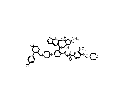 CC1(C)CCC(CN2CCN(c3ccc(C(=O)NS(=O)(=O)c4ccc(NCC5CCOCC5)c([N+](=O)[O-])c4)c(N4C[C@@H]5C[C@@](C)(N)C[C@@H]5Oc5nc6[nH]ccc6cc54)c3)CC2)=C(c2ccc(Cl)cc2)C1